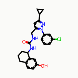 O=C(NCc1cc(C2CC2)nn1-c1cccc(Cl)c1)NC1CCCc2ccc(O)cc21